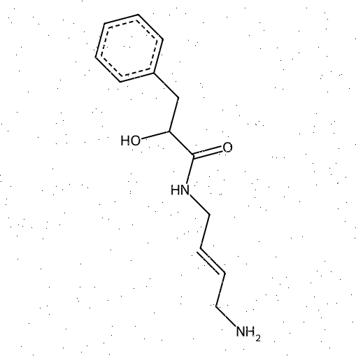 NCC=CCNC(=O)C(O)Cc1ccccc1